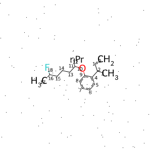 C=CC(C)c1ccccc1OC(CCC)CCCC(C)F